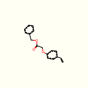 C=Cc1ccc(OCC(=O)OCc2ccccc2)cc1